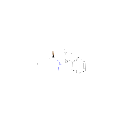 CC(=S)N[C@@H](C)c1ccccc1